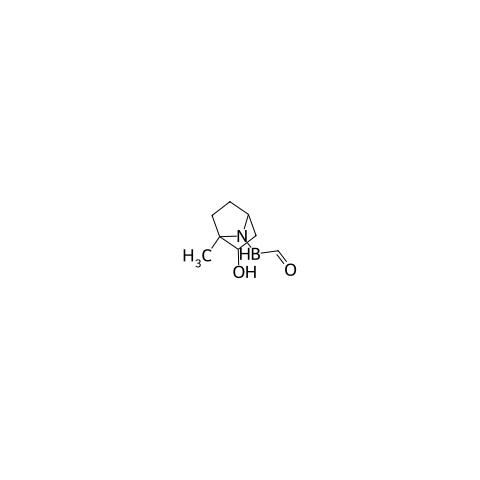 CC12CCC(CC1O)N2BC=O